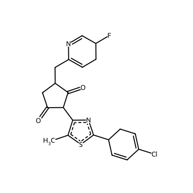 Cc1sc(C2C=CC(Cl)=CC2)nc1C1C(=O)CC(CC2=CCC(F)C=N2)C1=O